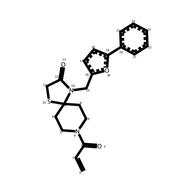 C=CC(=O)N1CCC2(CC1)SCC(=O)N2Cc1ccc(-c2ccccc2)o1